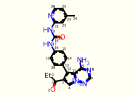 CCC(=O)c1cn2ncnc(N)c2c1-c1ccc(NC(=O)Nc2cc(C)ccn2)cc1